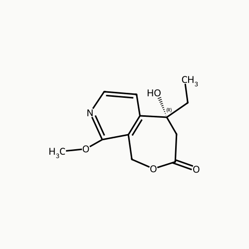 CC[C@@]1(O)CC(=O)OCc2c1ccnc2OC